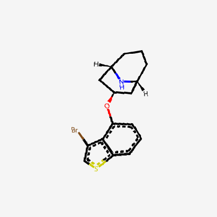 Brc1csc2cccc(O[C@@H]3C[C@H]4CCC[C@@H](C3)N4)c12